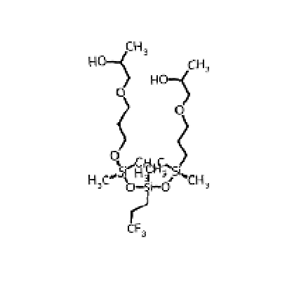 CC(O)COCCCO[Si](C)(C)O[Si](C)(CCC(F)(F)F)O[Si](C)(C)CCCOCC(C)O